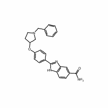 NC(=O)c1ccc2[nH]c(-c3ccc(OC4CCN(Cc5ccccc5)C4)cc3)nc2c1